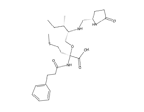 CC[C@H](C)[C@@H](CO[C@](CCSC)(NC(=O)CCc1ccccc1)C(=O)O)NC[C@@H]1CCC(=O)N1